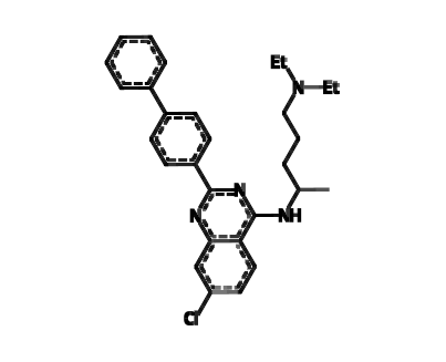 CCN(CC)CCCC(C)Nc1nc(-c2ccc(-c3ccccc3)cc2)nc2cc(Cl)ccc12